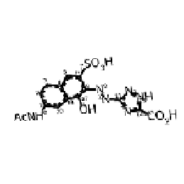 CC(=O)Nc1ccc2cc(S(=O)(=O)O)c(/N=N/c3n[nH]c(C(=O)O)n3)c(O)c2c1